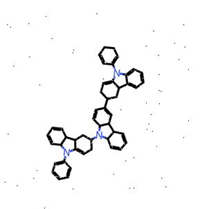 C1=CC2C3CC(N4C5C=CC=CC5C5C=C(C6CC=C7C(C6)c6ccccc6N7C6=CCCC=C6)C=CC54)CC=C3N(c3ccccc3)C2C=C1